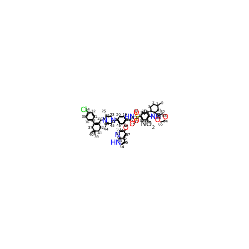 CC1CCC(C(C)C)C(Nc2ccc(S(=O)(=O)NC(=O)c3ccc(N4C[C@@H](C)N(CC5=C(c6ccc(Cl)cc6)CC(C)(C)CC5)[C@H](C)C4)cc3Oc3cnc4[nH]ccc4c3)cc2[N+](=O)[O-])([C@H]2COCCO2)C1